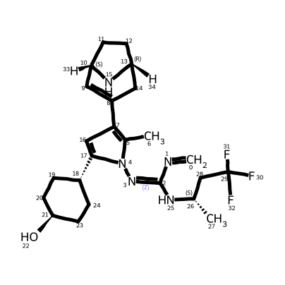 C=N/C(=N\n1c(C)c(C2=C[C@@H]3CC[C@H](C2)N3)cc1[C@H]1CC[C@H](O)CC1)N[C@@H](C)CC(F)(F)F